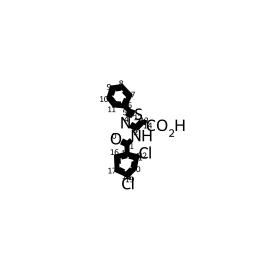 O=C(Nc1nc(-c2ccccc2)sc1C(=O)O)c1ccc(Cl)cc1Cl